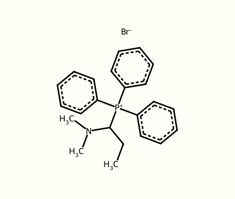 CCC(N(C)C)[P+](c1ccccc1)(c1ccccc1)c1ccccc1.[Br-]